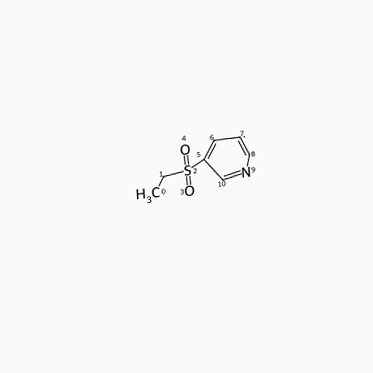 CCS(=O)(=O)c1c[c]cnc1